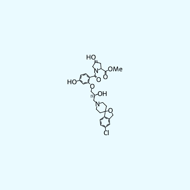 COC(=O)C1C[C@@H](O)CN1C(=O)c1ccc(O)cc1OC[C@@H](O)CN1CCC2(CC1)OCc1cc(Cl)ccc12